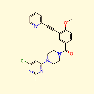 COc1ccc(C(=O)N2CCN(c3cc(Cl)nc(C)n3)CC2)cc1C#Cc1ccccn1